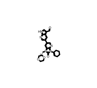 O=Cc1c[nH]c2ncc(-c3cnc4c(c3)n(C[C@H]3COCCO3)c(=O)n4C3=CCCCC3)cc12